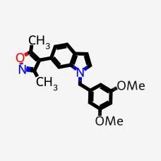 COc1cc(Cn2ccc3ccc(-c4c(C)noc4C)cc32)cc(OC)c1